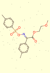 COCCOC(=O)/C(=N/OS(=O)(=O)c1ccc(C)cc1)c1ccc(C)cc1